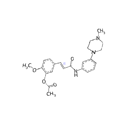 COc1ccc(/C=C/C(=O)Nc2cccc(N3CCN(C)CC3)c2)cc1OC(C)=O